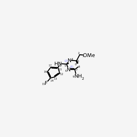 C=C(COC)/N=C(\N=C(/C)N)Nc1ccc(F)cc1